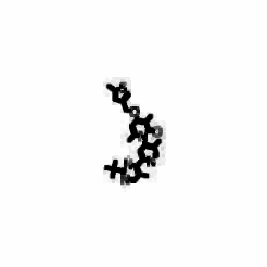 Cc1cc(COc2cc(C)n(-c3cc(-c4nc(C(C)(C)C)ncc4C)ncc3C)c(=O)c2C)cs1